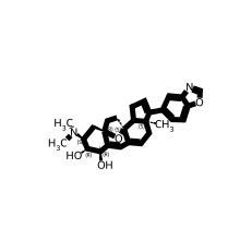 CN(C)[C@H]1C[C@@]23CC[C@@]4(O2)C(=CC[C@]2(C)C(c5ccc6ocnc6c5)=CCC24)C=C3[C@@H](O)[C@@H]1O